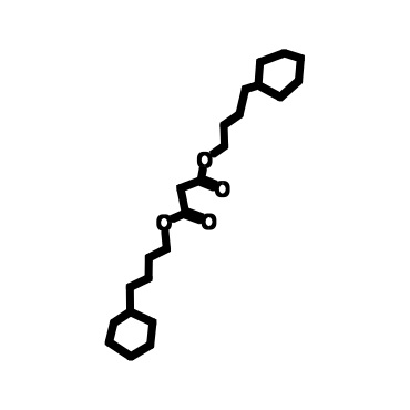 O=C(CC(=O)OCCCCC1CCCCC1)OCCCCC1CCCCC1